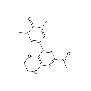 Cc1cc(-c2cc([S+](C)[O-])cc3c2OCCO3)cn(C)c1=O